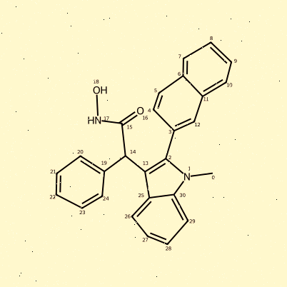 Cn1c(-c2ccc3ccccc3c2)c(C(C(=O)NO)c2ccccc2)c2ccccc21